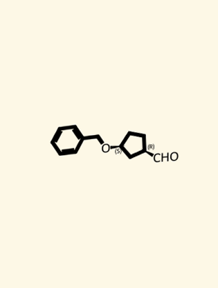 O=C[C@@H]1CC[C@H](OCc2ccccc2)C1